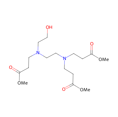 COC(=O)CCN(CCO)CCN(CCC(=O)OC)CCC(=O)OC